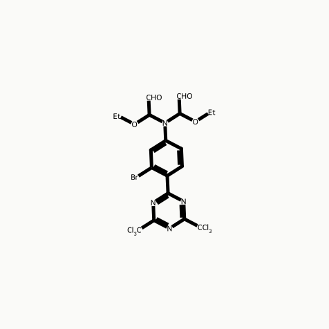 CCOC(C=O)N(c1ccc(-c2nc(C(Cl)(Cl)Cl)nc(C(Cl)(Cl)Cl)n2)c(Br)c1)C(C=O)OCC